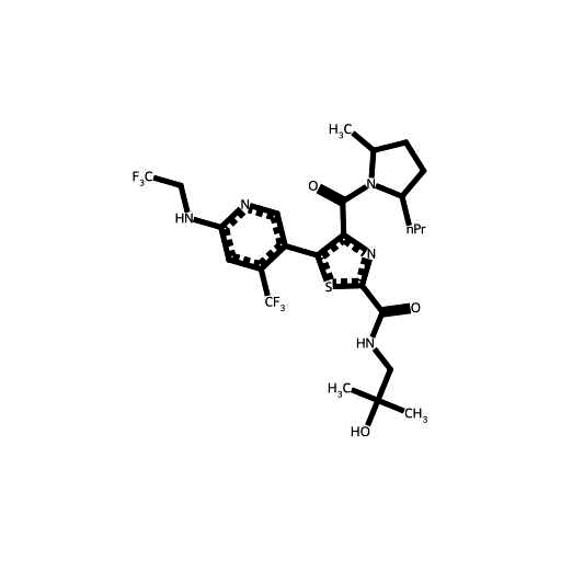 CCCC1CCC(C)N1C(=O)c1nc(C(=O)NCC(C)(C)O)sc1-c1cnc(NCC(F)(F)F)cc1C(F)(F)F